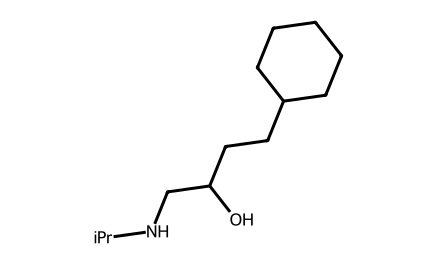 CC(C)NCC(O)CCC1CCCCC1